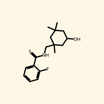 CC1(C)CC(O)CC(C)(CNC(=S)c2ccccc2F)C1